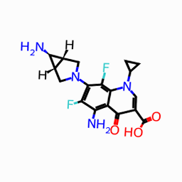 Nc1c(F)c(N2C[C@@H]3[C@@H](N)[C@@H]3C2)c(F)c2c1c(=O)c(C(=O)O)cn2C1CC1